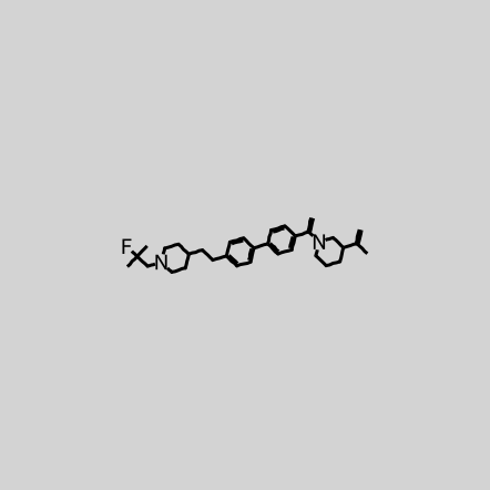 C=C(C)C1CCCN(C(=C)c2ccc(-c3ccc(CCC4CCN(CC(C)(C)F)CC4)cc3)cc2)C1